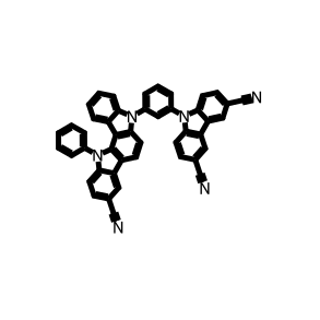 N#Cc1ccc2c(c1)c1cc(C#N)ccc1n2-c1cccc(-n2c3ccccc3c3c2ccc2c4cc(C#N)ccc4n(-c4ccccc4)c23)c1